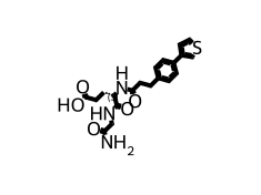 NC(=O)CNC(=O)[C@H](CCC(=O)O)NC(=O)CCc1ccc(-c2ccsc2)cc1